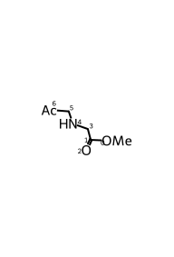 COC(=O)CNCC(C)=O